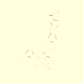 CC(C)(C)OC(=O)N(C[C@H](O)c1cccc(Cl)c1)[C@H]1CCc2ccc(Oc3cccc(C(=O)O)c3)cc2C1